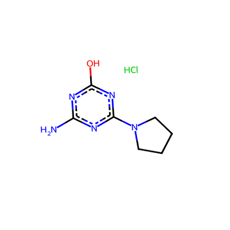 Cl.Nc1nc(O)nc(N2CCCC2)n1